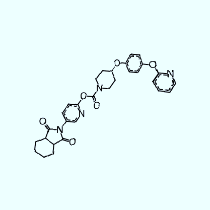 O=C(Oc1ccc(N2C(=O)C3CCCCC3C2=O)cn1)N1CCC(Oc2ccc(Oc3ccccn3)cc2)CC1